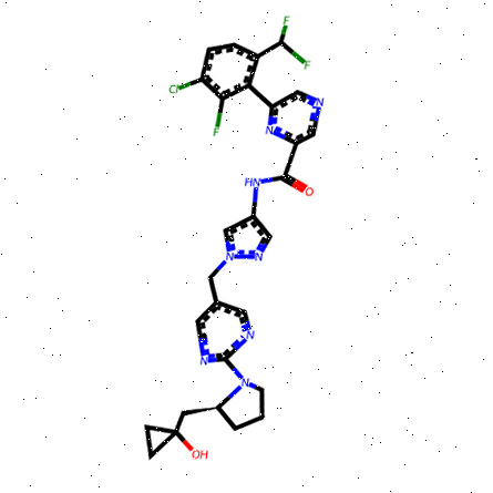 O=C(Nc1cnn(Cc2cnc(N3CCC[C@H]3CC3(O)CC3)nc2)c1)c1cncc(-c2c(C(F)F)ccc(Cl)c2F)n1